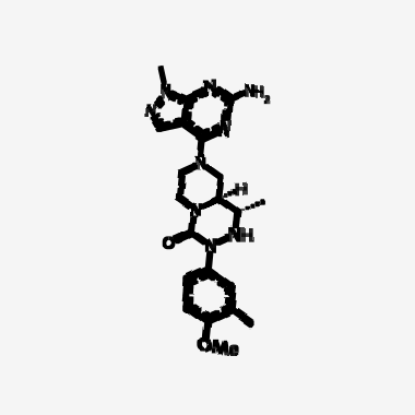 COc1ccc(N2N[C@@H](C)[C@@H]3CN(c4nc(N)nc5c4cnn5C)CCN3C2=O)cc1C